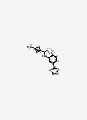 CC(Nc1cc(-c2nnco2)ccc1C(F)(F)F)C12CC(N)(C1)C2